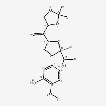 COc1ccc([C@@H]2CN(C(=O)C3COC(C)(C)O3)C[C@@]2(C)[C@@H](C)O)cc1O